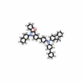 CC1(C)c2ccccc2-c2ccc(N(c3ccc(-c4ccccc4)cc3)c3ccc(-c4ccc5c(c4)c4oc6ccccc6c4n5-c4ccc5ccccc5c4)cc3)cc21